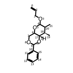 C=CCOC1OC2COC(c3ccccc3)O[C@H]2[C@H](C)C1C